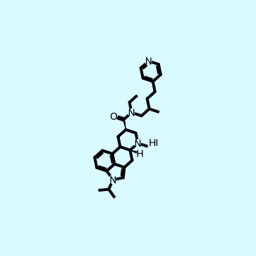 CCN(CC(C)CCc1ccncc1)C(=O)[C@@H]1CC2c3cccc4c3c(cn4C(C)C)C[C@H]2N(C)C1.I